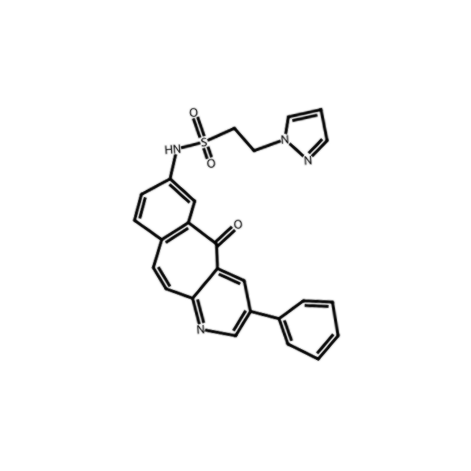 O=c1c2cc(NS(=O)(=O)CCn3cccn3)ccc2ccc2ncc(-c3ccccc3)cc12